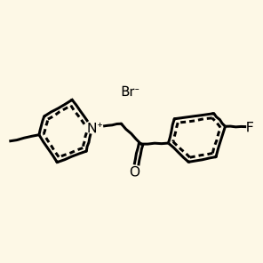 Cc1cc[n+](CC(=O)c2ccc(F)cc2)cc1.[Br-]